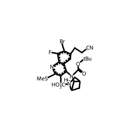 CSc1nc2c(F)c(Br)c(CCC#N)cc2c(N(C(=O)OC(C)(C)C)[C@H]2C3CC2N(C(=O)O)C3)c1I